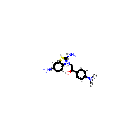 CCN(CC)c1ccc(C(=O)C[n+]2c(N)sc3cc(N)ccc32)cc1